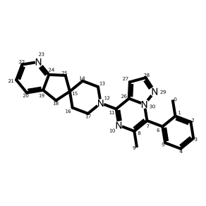 Cc1ccccc1-c1c(C)nc(N2CCC3(CC2)Cc2cccnc2C3)c2ccnn12